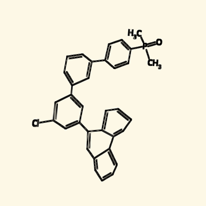 CP(C)(=O)c1ccc(-c2cccc(-c3cc(Cl)cc(-c4cc5ccccc5c5ccccc45)c3)c2)cc1